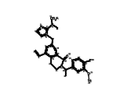 C=Cc1cc(Cn2ccnc2N(C)C(=O)O)cc2c1CCN(C(C)c1cc(OCC)c(F)cn1)C2=O